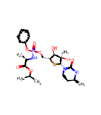 C=C1C=CN([C@@H]2S[C@H](CO[P@](=O)(N[C@H](C)C(=O)OC(C)C)Oc3ccccc3)[C@@H](O)[C@@]2(C)O)C(=O)N1